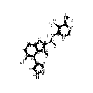 C[C@H](Nc1ncnc(N)c1N)c1nc2ccc(F)c(-c3cn[nH]c3)c2n1C